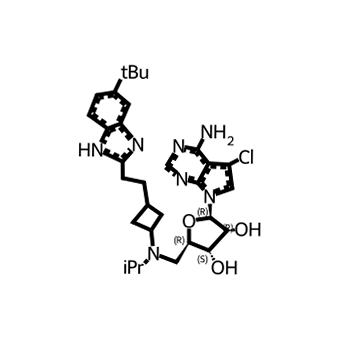 CC(C)N(C[C@H]1O[C@@H](n2cc(Cl)c3c(N)ncnc32)[C@H](O)[C@@H]1O)C1CC(CCc2nc3cc(C(C)(C)C)ccc3[nH]2)C1